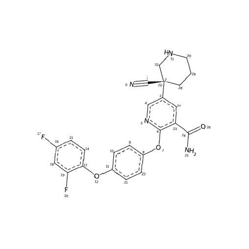 N#C[C@]1(c2cnc(Oc3ccc(Oc4ccc(F)cc4F)cc3)c(C(N)=O)c2)CCCNC1